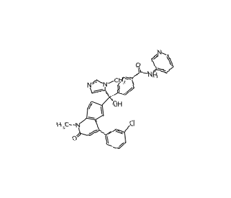 Cn1cncc1C(O)(c1ccc(C(=O)Nc2cccnc2)cc1)c1ccc2c(c1)c(-c1cccc(Cl)c1)cc(=O)n2C